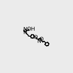 OCc1nccn1CCCc1ccc(OCc2coc(/C=C/c3ccccc3)n2)cc1